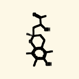 CC(=O)C(O)C[C@@]1(C)CCc2c(C)c(O)c(C)c(C)c2O1